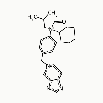 CC(C)C[N+](C=O)(c1ccc(Cn2ccc3ncnc-3c2)cc1)C1CCCCC1